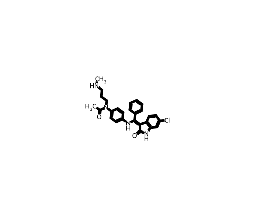 CNCCCN(C(C)=O)c1ccc(N/C(=C2\C(=O)Nc3cc(Cl)ccc32)c2ccccc2)cc1